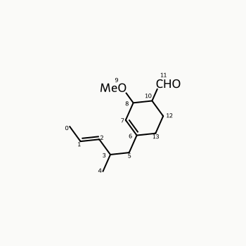 CC=CC(C)CC1=CC(OC)C(C=O)CC1